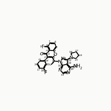 CC(c1oc2cccc(F)c2c(=O)c1-c1cccc(F)c1)n1nc(N2CCCC2)c2c(N)ncnc21